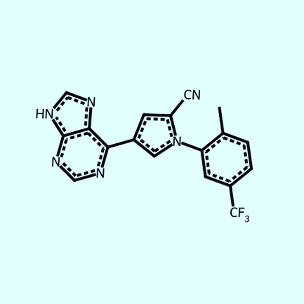 Cc1ccc(C(F)(F)F)cc1-n1cc(-c2ncnc3[nH]cnc23)cc1C#N